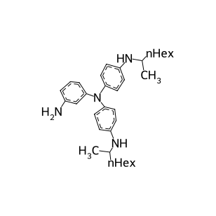 CCCCCCC(C)Nc1ccc(N(c2ccc(NC(C)CCCCCC)cc2)c2cccc(N)c2)cc1